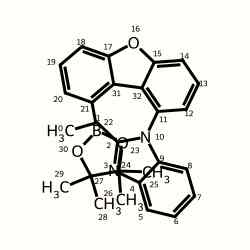 CCc1nc2ccccc2n1-c1cccc2oc3cccc(B4OC(C)(C)C(C)(C)O4)c3c12